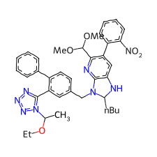 CCCCC1Nc2cc(-c3ccccc3[N+](=O)[O-])c(C(OC)OC)nc2N1Cc1ccc(-c2ccccc2)c(-c2nnnn2C(C)OCC)c1